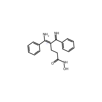 N=C(/C(CCC(=O)NO)=C(\N)c1ccccc1)c1ccccc1